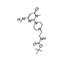 Cn1c(N2CCN(CCNC(=O)OC(C)(C)C)CC2)nc(N)cc1=O